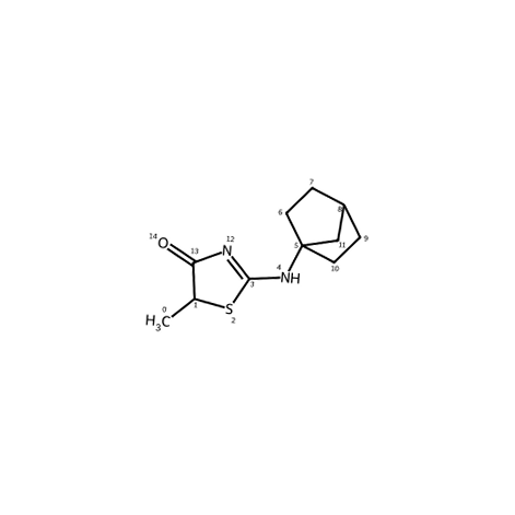 CC1SC(NC23CCC(CC2)C3)=NC1=O